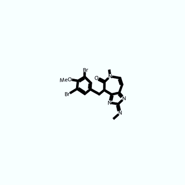 CN=C1N=C2C=CN(C)C(=O)C(Cc3cc(Br)c(OC)c(Br)c3)C2=N1